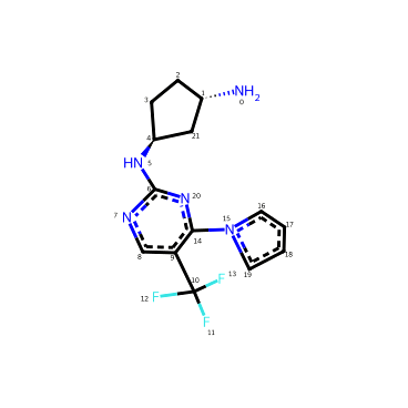 N[C@H]1CC[C@H](Nc2ncc(C(F)(F)F)c(-n3cccc3)n2)C1